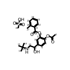 CC(=O)Oc1ccc(C(O)CNC(C)(C)C)cc1OC(=O)c1ccccc1C.CS(=O)(=O)O